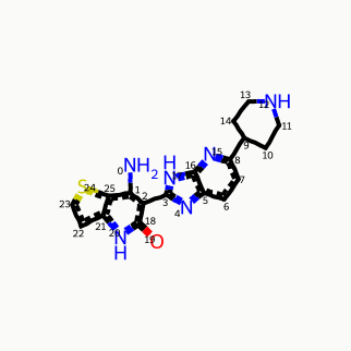 Nc1c(-c2nc3ccc(C4CCNCC4)nc3[nH]2)c(=O)[nH]c2ccsc12